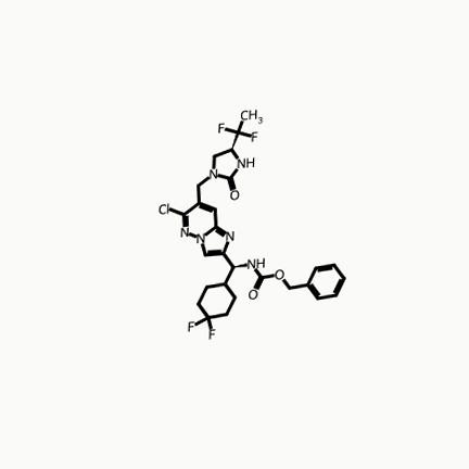 CC(F)(F)[C@@H]1CN(Cc2cc3nc([C@@H](NC(=O)OCc4ccccc4)C4CCC(F)(F)CC4)cn3nc2Cl)C(=O)N1